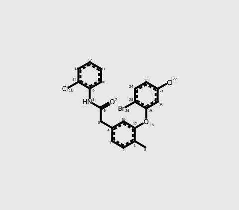 Cc1ccc(CC(=O)Nc2ccccc2Cl)cc1Oc1cc(Cl)ccc1Br